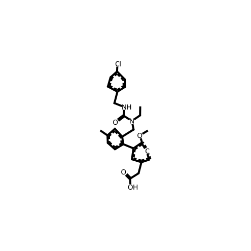 CCN(Cc1cc(C)ccc1-c1cc(CC(=O)O)ccc1OC)C(=O)NCc1ccc(Cl)cc1